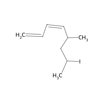 C=C/C=C\C(C)CC(C)I